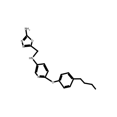 CCCCc1ccc(Oc2ccc(NCc3nnc(N)o3)cn2)cc1